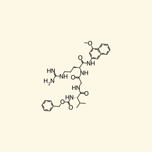 COc1cc(NC(=O)[C@H](CCCNC(=N)N)NC(=O)CNC(=O)[C@@H](NC(=O)OCc2ccccc2)C(C)C)cc2ccccc12